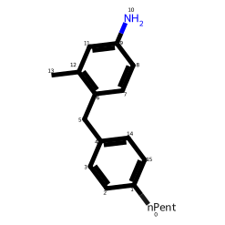 CCCCCc1ccc(Cc2ccc(N)cc2C)cc1